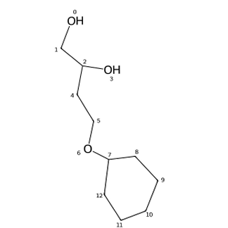 OCC(O)CCOC1CCCCC1